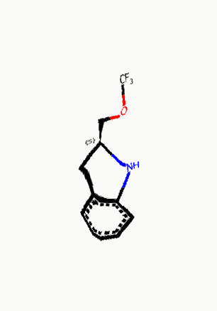 FC(F)(F)OC[C@@H]1Cc2ccccc2N1